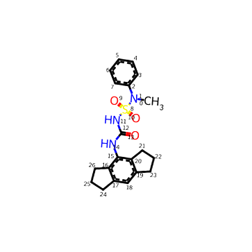 CN(c1ccccc1)S(=O)(=O)NC(=O)Nc1c2c(cc3c1CCC3)CCC2